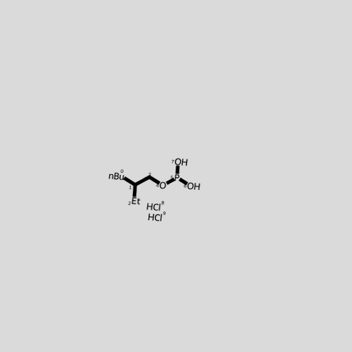 CCCCC(CC)COP(O)O.Cl.Cl